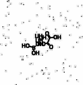 O=C(O)C(=O)O.OB(O)O.[LiH].[LiH].[LiH]